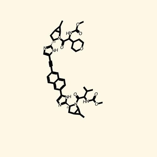 COC(=O)NC(C(=O)N1C2C(C)C2C[C@H]1c1ncc(-c2ccc3cc(C#Cc4cnc([C@@H]5CC6C(C)C6N5C(=O)C(NC(=O)OC)C5CCOCC5)[nH]4)ccc3c2)[nH]1)C(C)C